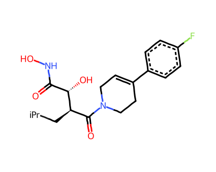 CC(C)C[C@H](C(=O)N1CC=C(c2ccc(F)cc2)CC1)[C@@H](O)C(=O)NO